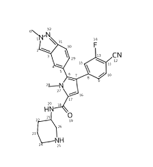 Cn1cc2cc(-c3c(-c4ccc(C#N)c(F)c4)cc(C(=O)NC4CCCNC4)n3C)ccc2n1